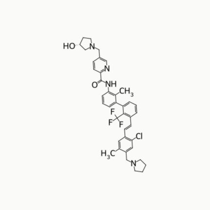 Cc1cc(/C=C/c2cccc(-c3cccc(NC(=O)c4ccc(CN5CC[C@@H](O)C5)cn4)c3C)c2C(F)(F)F)c(Cl)cc1CN1CCCC1